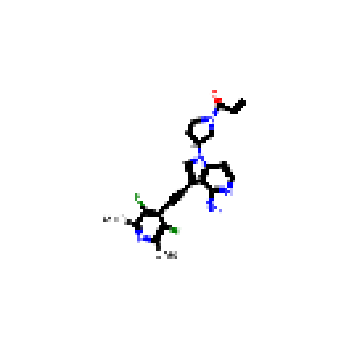 C=CC(=O)N1CC[C@H](n2cc(C#Cc3c(F)c(OC)nc(OC)c3F)c3c(N)nccc32)C1